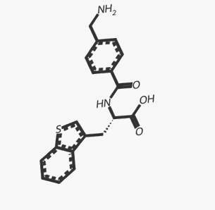 NCc1ccc(C(=O)N[C@@H](Cc2csc3ccccc23)C(=O)O)cc1